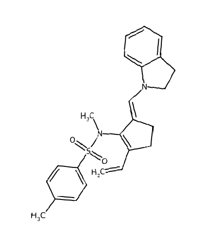 C=CC1=C(N(C)S(=O)(=O)c2ccc(C)cc2)/C(=C/N2CCc3ccccc32)CC1